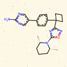 C[C@@H]1CCC[C@H](C)N1c1nc(C2(c3ccc(-c4cnc(N)nc4)cc3)CCC2)no1